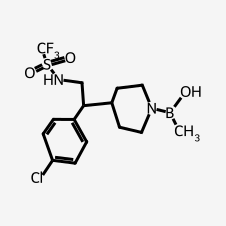 CB(O)N1CCC(C(CNS(=O)(=O)C(F)(F)F)c2ccc(Cl)cc2)CC1